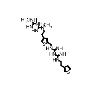 CNC(=N)NC(=N)N(C)CCc1csc(CNC(=N)NC(=N)NCCc2ccsc2)c1